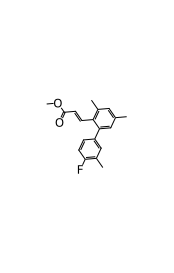 COC(=O)/C=C/c1c(C)cc(C)cc1-c1ccc(F)c(C)c1